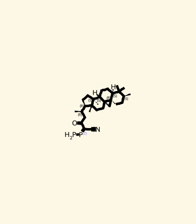 C[C@H](CC(=O)/C(C#N)=P\P)[C@H]1CC[C@@]2(C)[C@@H]3CC[C@H]4C(C)(C)[C@@H](C)CC[C@@]45C[C@@]35CC[C@]12C